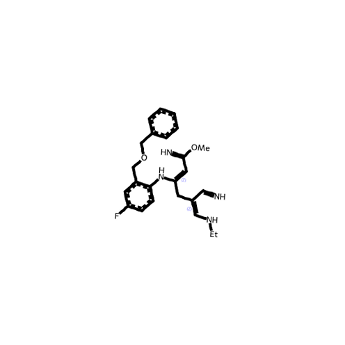 CCN/C=C(\C=N)C/C(=C/C(=N)OC)Nc1ccc(F)cc1COCc1ccccc1